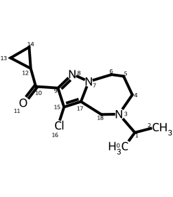 CC(C)N1CCCn2nc(C(=O)C3CC3)c(Cl)c2C1